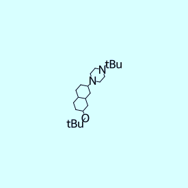 CC(C)(C)OC1CCC2CCC(N3CCN(C(C)(C)C)CC3)CC2C1